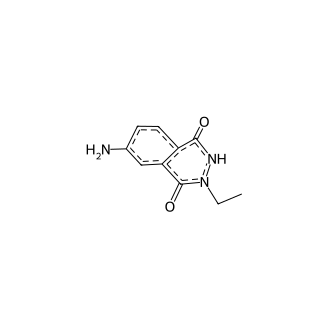 CCn1[nH]c(=O)c2ccc(N)cc2c1=O